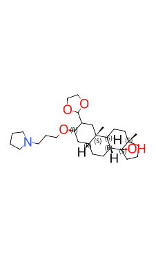 C[C@]12CC(C3OCCO3)[C@H](OCCCN3CCCC3)C[C@H]1CC[C@@H]1[C@@H]2CC[C@]2(C)CCC[C@]12O